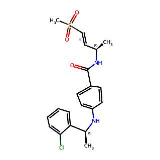 C[C@H](/C=C/S(C)(=O)=O)NC(=O)c1ccc(N[C@@H](C)c2ccccc2Cl)cc1